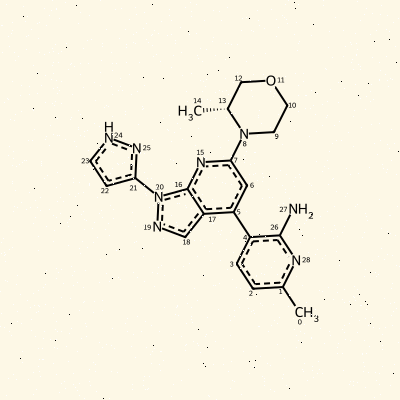 Cc1ccc(-c2cc(N3CCOC[C@H]3C)nc3c2cnn3-c2cc[nH]n2)c(N)n1